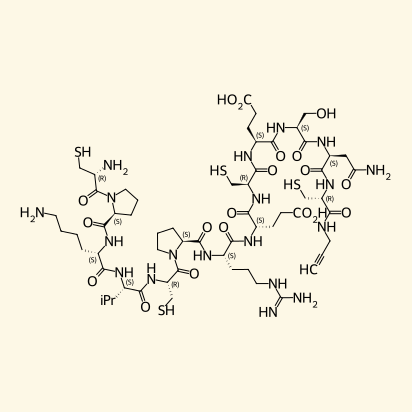 C#CCNC(=O)[C@H](CS)NC(=O)[C@H](CC(N)=O)NC(=O)[C@H](CO)NC(=O)[C@H](CCC(=O)O)NC(=O)[C@H](CS)NC(=O)[C@H](CCC(=O)O)NC(=O)[C@H](CCCNC(=N)N)NC(=O)[C@@H]1CCCN1C(=O)[C@H](CS)NC(=O)[C@@H](NC(=O)[C@H](CCCCN)NC(=O)[C@@H]1CCCN1C(=O)[C@@H](N)CS)C(C)C